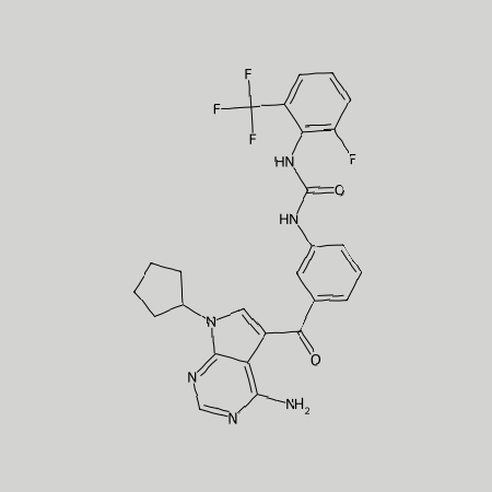 Nc1ncnc2c1c(C(=O)c1cccc(NC(=O)Nc3c(F)cccc3C(F)(F)F)c1)cn2C1CCCC1